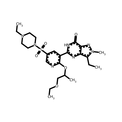 CCOCC(C)Oc1ncc(S(=O)(=O)N2CCN(CC)CC2)cc1-c1nc2c(CC)n(C)nc2c(=O)[nH]1